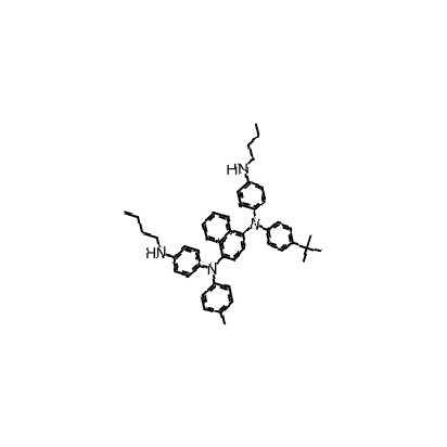 CCCCNc1ccc(N(c2ccc(C)cc2)c2ccc(N(c3ccc(NCCCC)cc3)c3ccc(C(C)(C)C)cc3)c3ccccc23)cc1